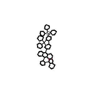 c1ccc(C2(c3ccccc3)c3cc(-c4c5ccccc5c(-c5ccccc5-c5cccc6ccccc56)c5ccccc45)ccc3-c3ccc([Si](c4ccccc4)(c4ccccc4)c4ccccc4)cc32)cc1